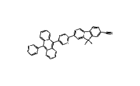 CC1(C)c2cc(C#N)ccc2-c2ccc(-c3ccc(-c4c5ccccc5c(-c5ccccc5)c5ccccc45)cn3)cc21